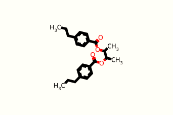 CCCc1ccc(C(=O)OC(C)C(C)OC(=O)c2ccc(CCC)cc2)cc1